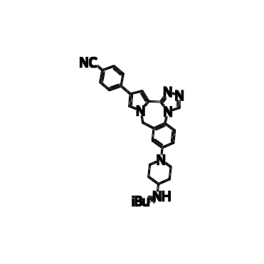 CC[C@@H](C)NC1CCN(c2ccc3c(c2)Cn2cc(-c4ccc(C#N)cc4)cc2-c2nncn2-3)CC1